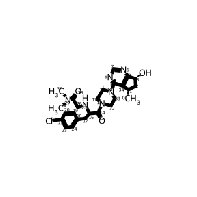 C[C@@H]1C[C@@H](O)c2ncnc(N3CCN(C(=O)C(Cc4ccc(Cl)cc4)NCC(=O)N(C)C)CC3)c21